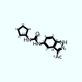 CC(=O)c1n[nH]c2ccc(NC(=O)NC3CCCC3)cc12